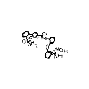 N=C(NO)c1cccc(Oc2ccccc2NC(=O)c2ccc(-c3ccccc3S(N)(=O)=O)cc2)c1